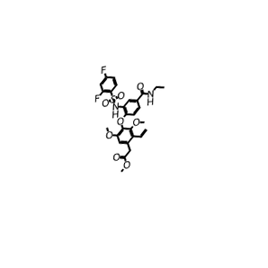 C=Cc1c(CC(=O)OC)cc(OC)c(Oc2ccc(C(=O)NCC)cc2NS(=O)(=O)c2ccc(F)cc2F)c1OC